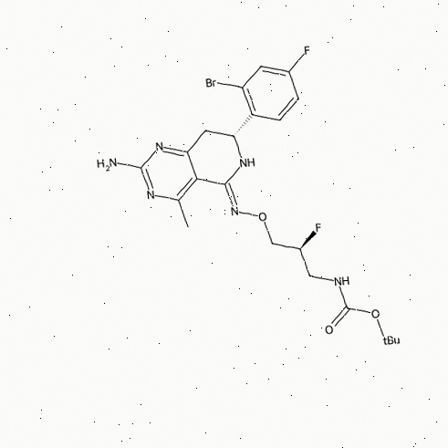 Cc1nc(N)nc2c1/C(=N/OC[C@@H](F)CNC(=O)OC(C)(C)C)N[C@@H](c1ccc(F)cc1Br)C2